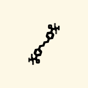 O=C(c1ccc(CCCCc2ccc(C(=O)C(I)(I)I)cc2)cc1)C(I)(I)I